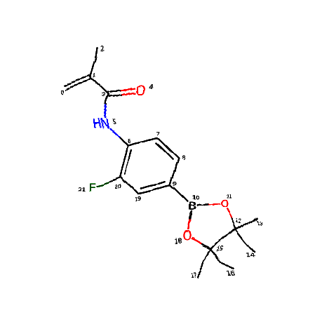 C=C(C)C(=O)Nc1ccc(B2OC(C)(C)C(C)(C)O2)cc1F